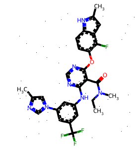 CCN(C)C(=O)c1c(Nc2cc(-n3cnc(C)c3)cc(C(F)(F)F)c2)ncnc1Oc1ccc2[nH]c(C)cc2c1F